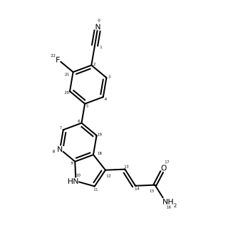 N#Cc1ccc(-c2cnc3[nH]cc(C=CC(N)=O)c3c2)cc1F